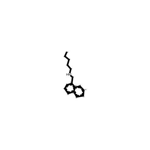 CCCCCNCc1cccc2ccccc12